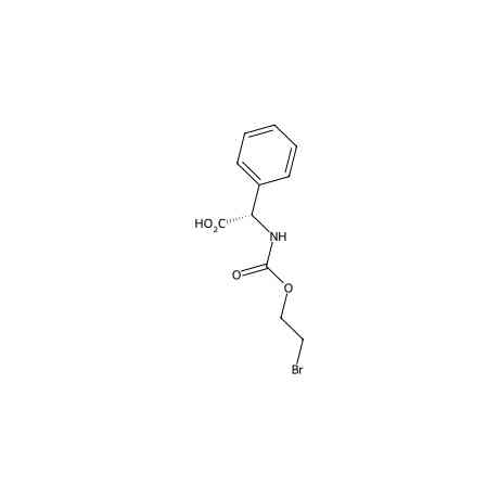 O=C(N[C@H](C(=O)O)c1ccccc1)OCCBr